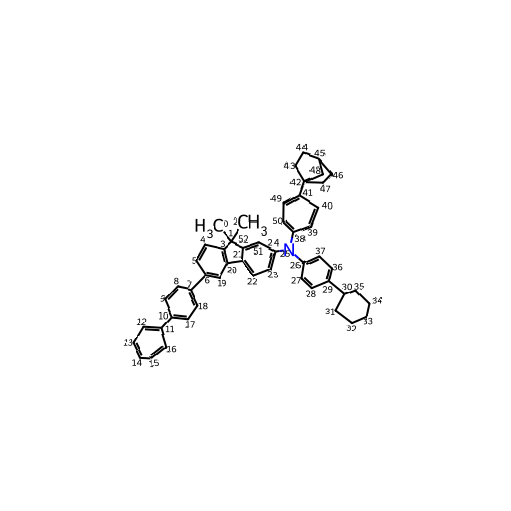 CC1(C)c2ccc(-c3ccc(-c4ccccc4)cc3)cc2-c2ccc(N(c3ccc(C4CCCCC4)cc3)c3ccc(C45CCC(CC4)C5)cc3)cc21